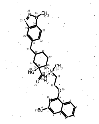 CCCCc1cc2ccccc2c(OCC[N+](C)(C)[C@H]2CCC(Cc3ccc4c(c3)nnn4C)C[C@@]2(O)C(N)=O)n1